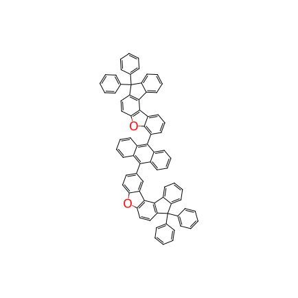 c1ccc(C2(c3ccccc3)c3ccccc3-c3c2ccc2oc4ccc(-c5c6ccccc6c(-c6cccc7c6oc6ccc8c(c67)-c6ccccc6C8(c6ccccc6)c6ccccc6)c6ccccc56)cc4c32)cc1